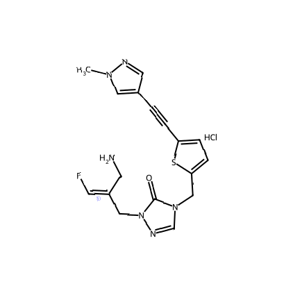 Cl.Cn1cc(C#Cc2ccc(Cn3cnn(C/C(=C/F)CN)c3=O)s2)cn1